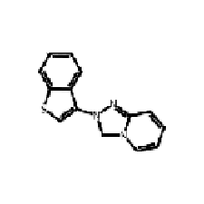 [c]1ccc2c(N3CN4C=CC=CC4=N3)csc2c1